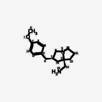 COc1ccc(C[C@H]2CN3CCC[C@]3(CN)C2)cc1